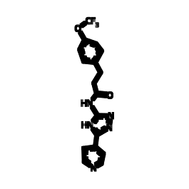 O=C(CCc1ccc(OC(F)(F)F)cc1)Nc1nnc(-c2ccncc2)[nH]1